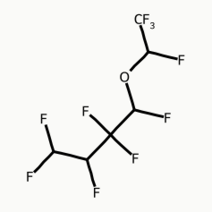 FC(F)C(F)C(F)(F)C(F)OC(F)C(F)(F)F